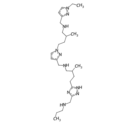 CCCNCc1n[nH]c(CCC(C)CNCc2ccn(CCC(C)CNCc3ccn(CC)n3)n2)n1